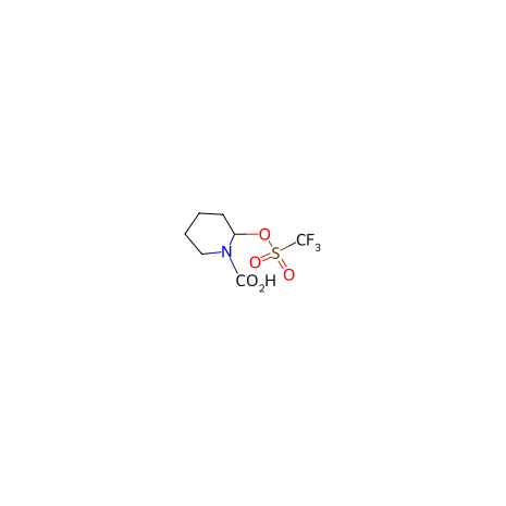 O=C(O)N1CCCCC1OS(=O)(=O)C(F)(F)F